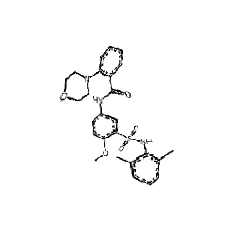 COc1ccc(NC(=O)c2ccccc2N2CCOCC2)cc1S(=O)(=O)Nc1c(C)cccc1C